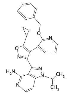 CC(C)n1nc(-c2noc(C3CC3)c2-c2cccnc2OCc2ccccc2)c2c(N)nccc21